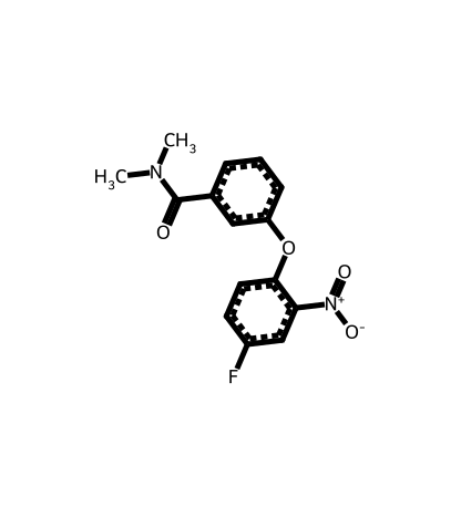 CN(C)C(=O)c1cccc(Oc2ccc(F)cc2[N+](=O)[O-])c1